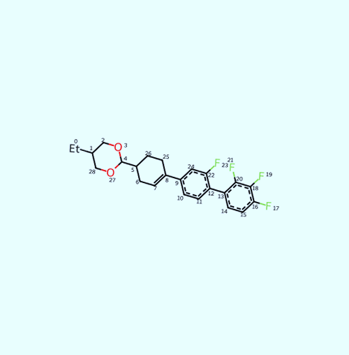 CCC1COC(C2CC=C(c3ccc(-c4ccc(F)c(F)c4F)c(F)c3)CC2)OC1